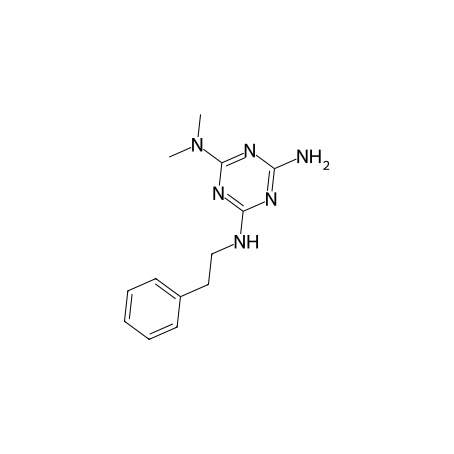 CN(C)c1nc(N)nc(NCCc2ccccc2)n1